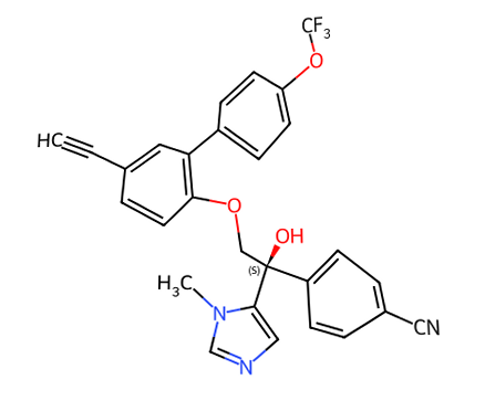 C#Cc1ccc(OC[C@](O)(c2ccc(C#N)cc2)c2cncn2C)c(-c2ccc(OC(F)(F)F)cc2)c1